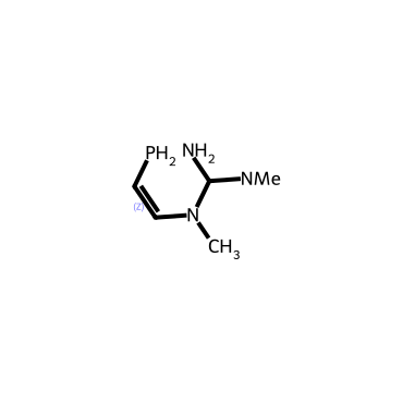 CNC(N)N(C)/C=C\P